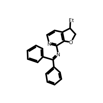 CCC1COc2c1ccnc2N=C(c1ccccc1)c1ccccc1